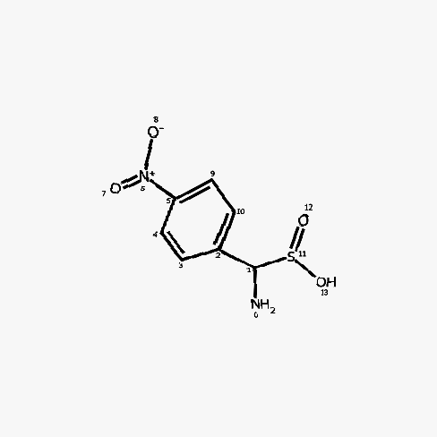 NC(c1ccc([N+](=O)[O-])cc1)S(=O)O